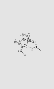 B[C@H]1[C@@H](O)C(OC)[C@@H](COC)S1(=O)=O